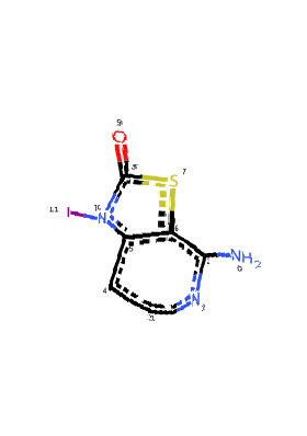 Nc1nccc2c1sc(=O)n2I